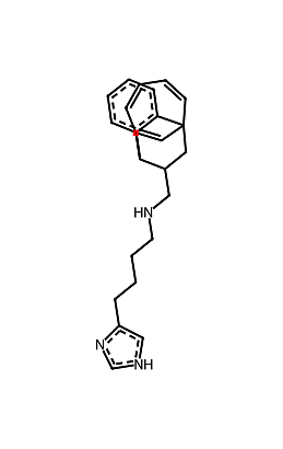 C1=CC2=CC3(C=C1)CC(CNCCCCc1c[nH]cn1)C2c1ccccc13